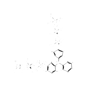 O=[As](O)(O)F.O=[As](O)(O)F.O=[As](O)(O)F.O=[As](O)(O)F.O=[As](O)(O)F.O=[As]([O-])(O)F.c1ccc([S+](c2ccccc2)c2ccccc2)cc1